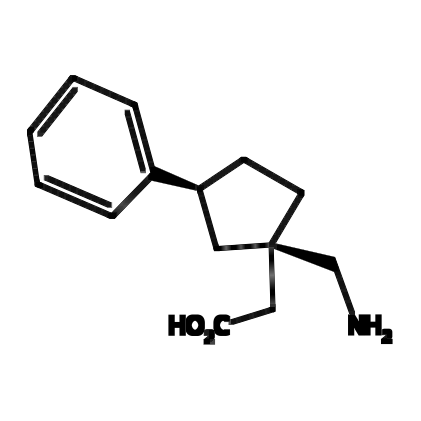 NC[C@]1(CC(=O)O)CC[C@H](c2ccccc2)C1